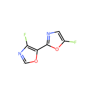 Fc1cnc(-c2o[c]nc2F)o1